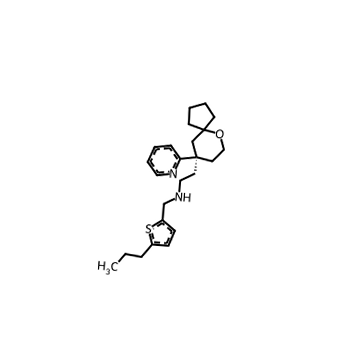 CCCc1ccc(CNCC[C@@]2(c3ccccn3)CCOC3(CCCC3)C2)s1